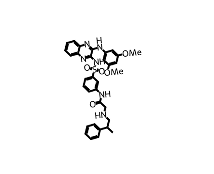 COc1cc(Nc2nc3ccccc3nc2NS(=O)(=O)c2cccc(NC(=O)CNCC(C)c3ccccc3)c2)cc(OC)c1